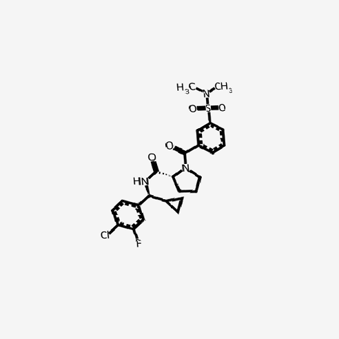 CN(C)S(=O)(=O)c1cccc(C(=O)N2CCC[C@@H]2C(=O)N[C@H](c2ccc(Cl)c(F)c2)C2CC2)c1